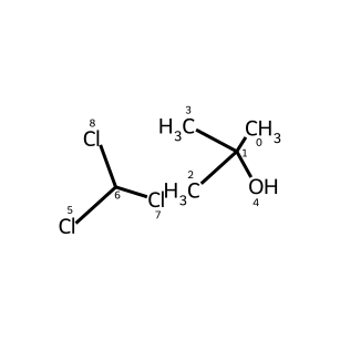 CC(C)(C)O.ClC(Cl)Cl